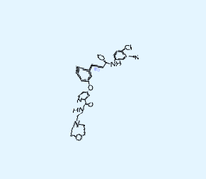 N#Cc1cc(NC(=O)/C=C/c2cccc(Oc3ccnc(C(=O)NCCN4CCOCC4)c3)c2)ccc1Cl